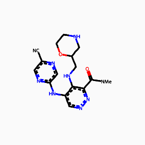 CNC(=O)c1nncc(Nc2cnc(C#N)cn2)c1NCC1CNCCO1